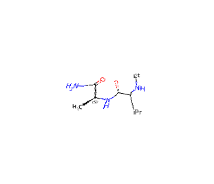 CCNC(C(=O)N[C@@H](C)C(N)=O)C(C)C